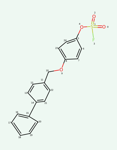 O=S(=O)(F)Oc1ccc(OCc2ccc(-c3ccccc3)cc2)cc1